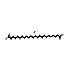 O=C([O-])CCCCCCCCCCCCCCCCCCCCCCC(=O)[O-].[Zn+2]